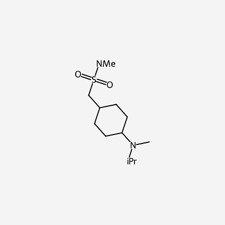 CNS(=O)(=O)CC1CCC(N(C)C(C)C)CC1